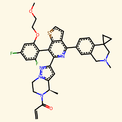 C=CC(=O)N1CCn2nc(-c3nc(-c4ccc5c(c4)CN(C)CC54CC4)c4ccsc4c3-c3c(F)cc(F)cc3OCCOC)cc2[C@H]1C